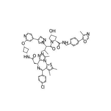 Cc1ncoc1-c1ccc(CNC(=O)[C@@H]2C[C@@H](O)CN2C(=O)C(C(C)C)n2cc(-c3ccnc(O[C@H]4C[C@@H](NC(=O)C[C@@H]5N=C(c6ccc(Cl)cc6)c6c(sc(C)c6C)-n6c(C)nnc65)C4)c3)cn2)cc1